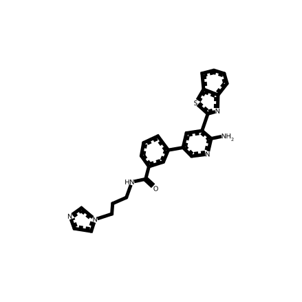 Nc1ncc(-c2cccc(C(=O)NCCCn3ccnc3)c2)cc1-c1nc2ccccc2s1